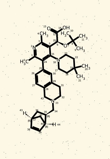 Cc1nc(C)c([C@H](OC(C)(C)C)C(=O)O)c(N2CCC(C)(C)CC2)c1-c1ccc2c(c1)CCN(C[C@@H]1C[C@@H]3C=C[C@H]1C3)C2